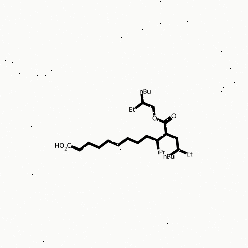 CCCCC(CC)COC(=O)C(CC(CC)CCCC)C(CCCCCCCCC(=O)O)C(C)C